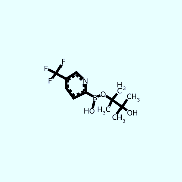 CC(C)(O)C(C)(C)OB(O)c1ccc(C(F)(F)F)cn1